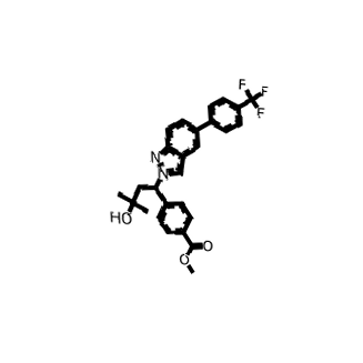 COC(=O)c1ccc(C(CC(C)(C)O)n2cc3cc(-c4ccc(C(F)(F)F)cc4)ccc3n2)cc1